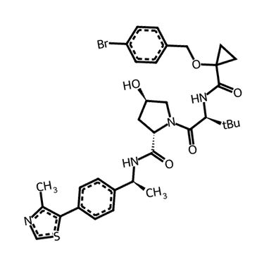 Cc1ncsc1-c1ccc([C@H](C)NC(=O)[C@@H]2C[C@@H](O)CN2C(=O)[C@@H](NC(=O)C2(OCc3ccc(Br)cc3)CC2)C(C)(C)C)cc1